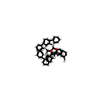 Fc1cccc(-c2cc(-n3c4ccccc4c4ccc5c6ccccc6n(-c6nc(-c7ccccc7)nc(-c7ccccc7-c7ccccc7)n6)c5c43)cc3c2oc2ccccc23)c1